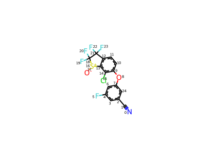 N#Cc1cc(F)cc(Oc2ccc3c(c2Cl)[S+]([O-])C(F)(F)C3(F)F)c1